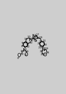 COCCN(C=O)c1ccc2c(c1)CN(c1ncc(Cc3ccc(N4CCOCC4)cc3)s1)CC2